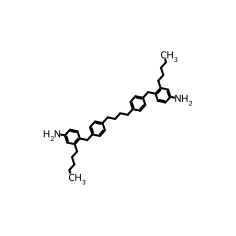 CCCCCc1cc(N)ccc1Cc1ccc(CCCCc2ccc(Cc3ccc(N)cc3CCCCC)cc2)cc1